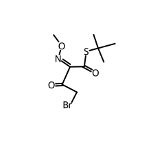 CON=C(C(=O)CBr)C(=O)SC(C)(C)C